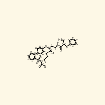 CCCCC(=O)N(CCNC(=O)[C@@H](CS)Cc1ccccc1)Cc1ccc(-c2ccccc2S(=O)(=O)NC(C)=O)cc1